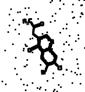 CC(=O)Cn1cnc2cc(Cl)c(Br)cc2c1=O